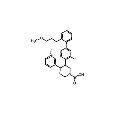 COCCCc1ccccc1-c1ccc(C2CN(C(=O)O)CCC2c2ccc[n+]([O-])c2)c(Cl)c1